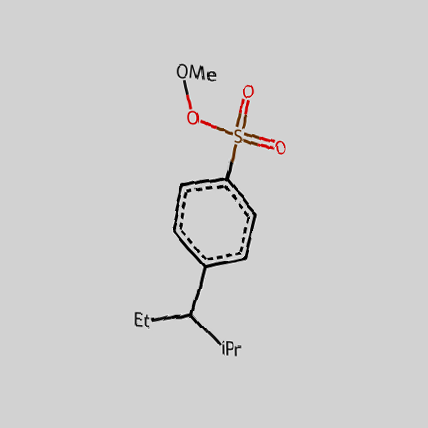 CCC(c1ccc(S(=O)(=O)OOC)cc1)C(C)C